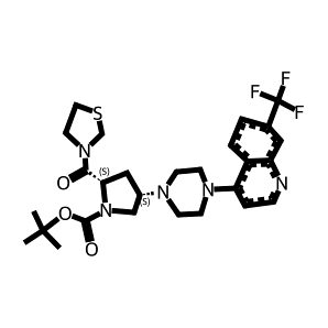 CC(C)(C)OC(=O)N1C[C@@H](N2CCN(c3ccnc4cc(C(F)(F)F)ccc34)CC2)C[C@H]1C(=O)N1CCSC1